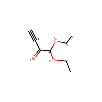 C#CC(=O)C(OCC)OCC